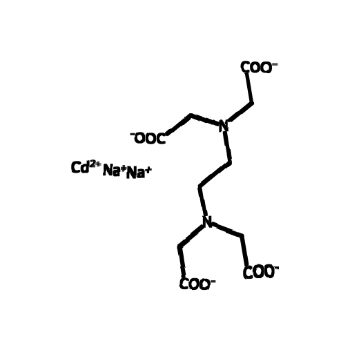 O=C([O-])CN(CCN(CC(=O)[O-])CC(=O)[O-])CC(=O)[O-].[Cd+2].[Na+].[Na+]